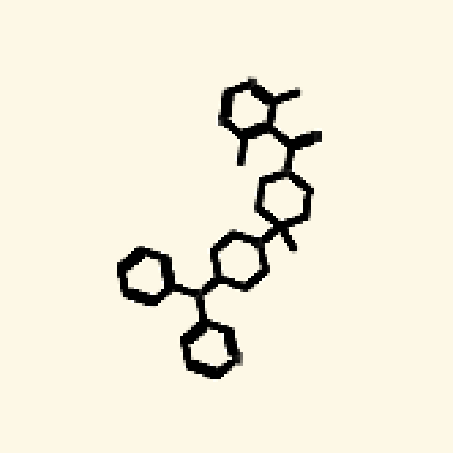 Cc1ncnc(C)c1C(=O)N1CCC(C)(N2CCC(N(c3ccccc3)c3cccnc3)CC2)CC1